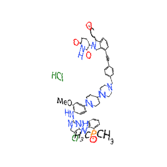 COc1cc(N2CCC(N3CCN(Cc4ccc(C#Cc5cccc6c5CN(C5CCC(=O)NC5=O)C6=C=O)cc4)CC3)CC2)ccc1Nc1ncc(Cl)c(Nc2ccccc2P(C)(C)=O)n1.Cl